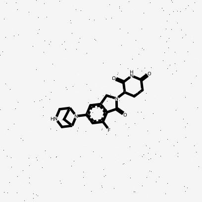 O=C1CCC(N2Cc3cc(N4C5CNCC4C5)cc(F)c3C2=O)C(=O)N1